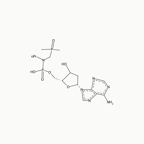 CCCN(CP(C)(C)=O)P(=O)(O)OC[C@H]1O[C@@H](n2cnc3c(N)ncnc32)CC1O